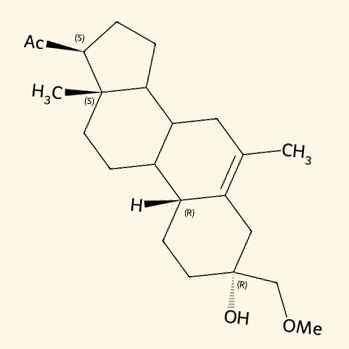 COC[C@@]1(O)CC[C@H]2C(=C(C)CC3C2CC[C@@]2(C)C3CC[C@@H]2C(C)=O)C1